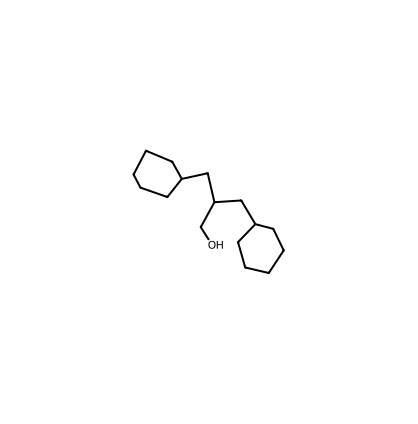 OCC(CC1CCCCC1)CC1CCCCC1